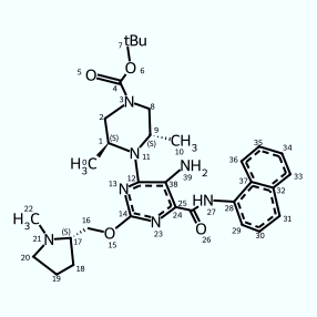 C[C@H]1CN(C(=O)OC(C)(C)C)C[C@H](C)N1c1nc(OC[C@@H]2CCCN2C)nc(C(=O)Nc2cccc3ccccc23)c1N